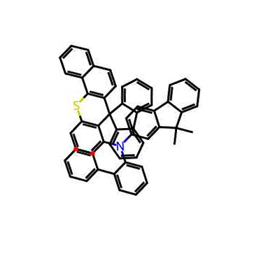 CC1(C)c2ccccc2-c2ccc(N(c3ccccc3-c3ccccc3)c3cccc4c3C3(c5ccccc5-c5ccccc53)c3ccc5ccccc5c3S4)cc21